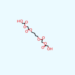 O=C(CO)OCC(=O)OCCCCOC(=O)COC(=O)CO